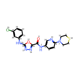 O=C(Nc1ccc(N2CCSCC2)nc1)c1nnc(Nc2cccc(Cl)c2)o1